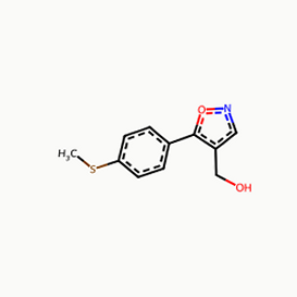 CSc1ccc(-c2oncc2CO)cc1